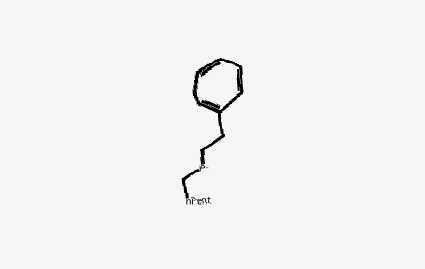 CCCCCC[P]CCc1ccccc1